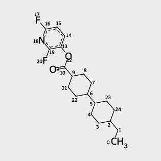 CCC1CCC(C2CCC(C(=O)Oc3ccc(F)nc3F)CC2)CC1